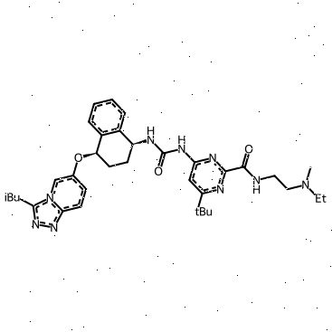 CCC(C)c1nnc2ccc(O[C@@H]3CC[C@H](NC(=O)Nc4cc(C(C)(C)C)nc(C(=O)NCCN(C)CC)n4)c4ccccc43)cn12